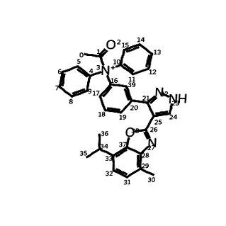 CC(=O)[N+](c1ccccc1)(c1ccccc1)c1cccc(-c2n[nH]cc2-c2nc3c(C)ccc(C(C)C)c3o2)c1